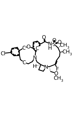 COC[C@H]1/C(F)=C/C[C@H](C)[C@@H](C)S(=O)(=O)NC(=O)c2ccc3c(c2)N(CCCCc2cc(Cl)ccc2CO3)C[C@@H]2CCN21